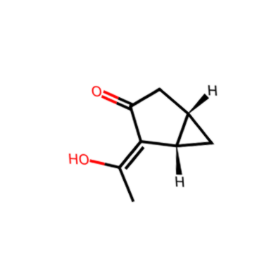 C/C(O)=C1/C(=O)C[C@@H]2C[C@H]12